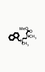 COC(=O)CN(C)CCN(C)Cc1cccc2ccccc12